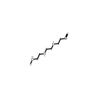 C=NCCOCCOCCOC